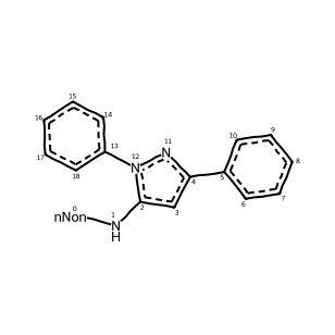 CCCCCCCCCNc1cc(-c2ccccc2)nn1-c1ccccc1